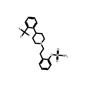 NS(=O)(=O)Oc1ccccc1CCN1CCC(c2ccccc2C(F)(F)F)CC1